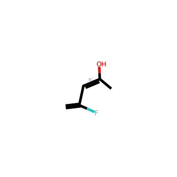 C=C(F)/C=C(\C)O